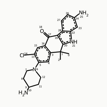 CC1(C)c2cc(N3CCC(N)CC3)c(Cl)cc2C(=O)c2c1[nH]c1cc(N)ccc21